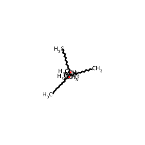 CCCCCCCCCCCCC(C)(C)[Si]([O])(C(C)(C)CCCCCCCCCCCC)C(C)(C)CCCCCCCCCCCC